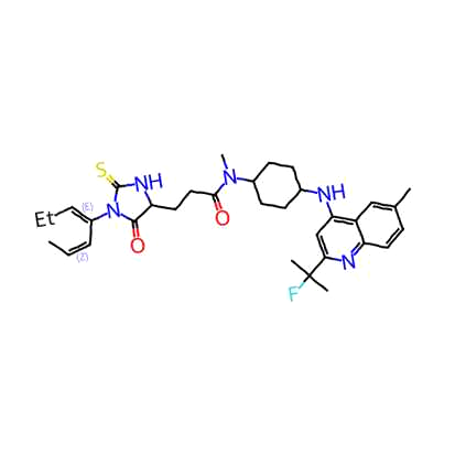 C/C=C\C(=C/CC)N1C(=O)C(CCC(=O)N(C)C2CCC(Nc3cc(C(C)(C)F)nc4ccc(C)cc34)CC2)NC1=S